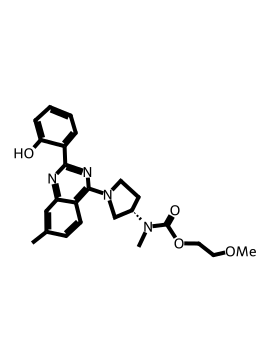 COCCOC(=O)N(C)[C@H]1CCN(c2nc(-c3ccccc3O)nc3cc(C)ccc23)C1